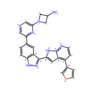 NC1CN(c2cncc(-c3ccc4[nH]nc(-c5cc6c(-c7ccoc7)ccnc6[nH]5)c4c3)n2)C1